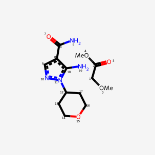 COCC(=O)OC.NC(=O)c1cnn(C2CCOCC2)c1N